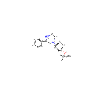 CC(C)(C)[Si](C)(C)Oc1ccc(N2CCNC(c3ccccc3)C2)cc1